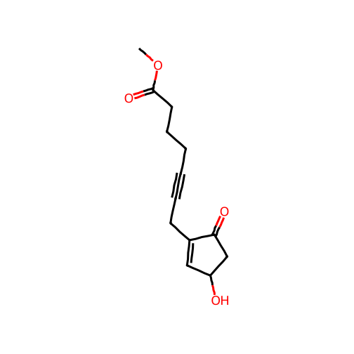 COC(=O)CCCC#CCC1=CC(O)CC1=O